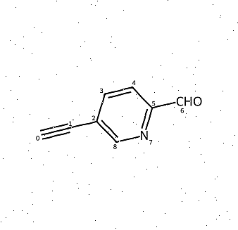 C#Cc1ccc(C=O)nc1